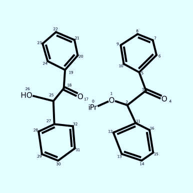 CC(C)OC(C(=O)c1ccccc1)c1ccccc1.O=C(c1ccccc1)C(O)c1ccccc1